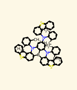 Cc1cccc(C)c1N(c1cc2c3c(c1)N(c1c(C)cccc1C)c1c(ccc4sc5ccccc5c14)B3c1ccc3sc4ccccc4c3c1N2c1c(C)cccc1C)c1cccc2sc3ccccc3c12